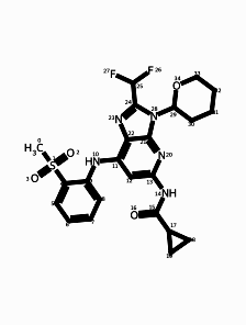 CS(=O)(=O)c1ccccc1Nc1cc(NC(=O)C2CC2)nc2c1nc(C(F)F)n2C1CCCCO1